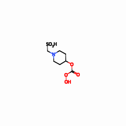 O=C(OO)OC1CCN(CS(=O)(=O)O)CC1